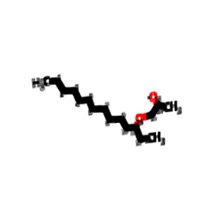 CCCCCCCCCCCC(CC)OCC(C)[O]